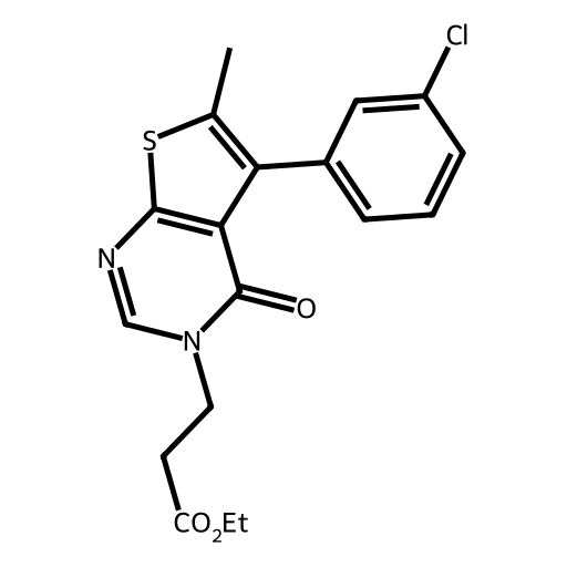 CCOC(=O)CCn1cnc2sc(C)c(-c3cccc(Cl)c3)c2c1=O